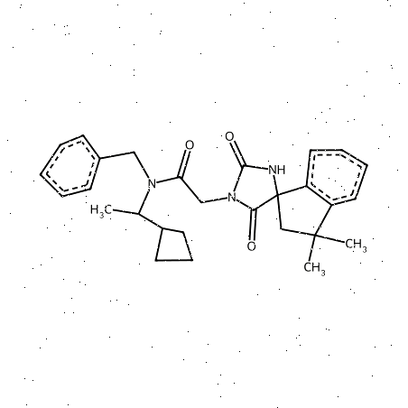 CC(C1CCC1)N(Cc1ccccc1)C(=O)CN1C(=O)NC2(CC(C)(C)c3ccccc32)C1=O